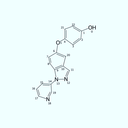 Oc1ccc(Oc2ccc3c(cnn3-c3cccnc3)c2)cc1